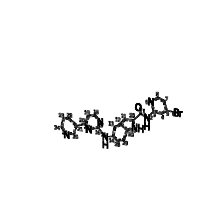 O=C(Nc1cc(Br)ccn1)c1cc2cc(Nc3nccc(-c4cccnc4)n3)ccc2[nH]1